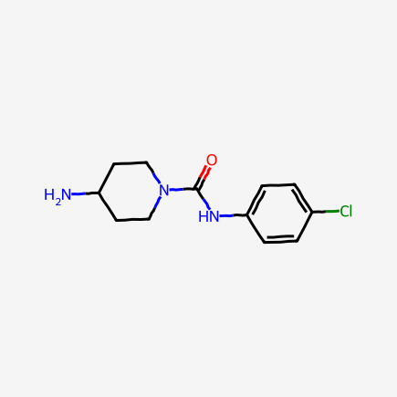 NC1CCN(C(=O)Nc2ccc(Cl)cc2)CC1